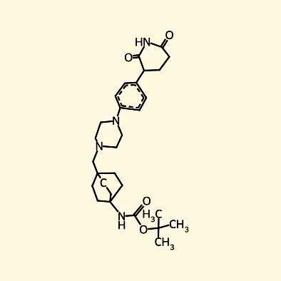 CC(C)(C)OC(=O)NC12CCC(CN3CCN(c4ccc(C5CCC(=O)NC5=O)cc4)CC3)(CC1)CC2